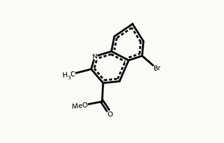 COC(=O)c1cc2c(Br)cccc2nc1C